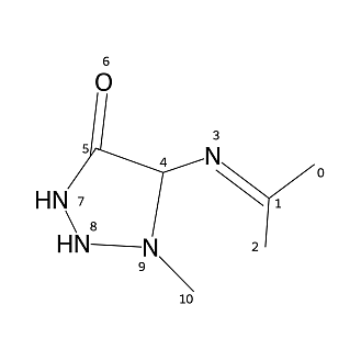 CC(C)=NC1C(=O)NNN1C